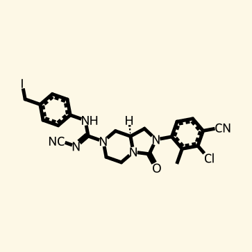 Cc1c(N2C[C@@H]3CN(/C(=N/C#N)Nc4ccc(CI)cc4)CCN3C2=O)ccc(C#N)c1Cl